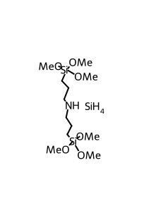 CO[Si](CCCNCCC[Si](OC)(OC)OC)(OC)OC.[SiH4]